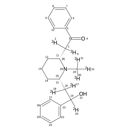 [2H]C([2H])(C(=O)c1ccccc1)[C@H]1CCC[C@@H](C([2H])([2H])C([2H])(O)c2ccccc2)N1C([2H])([2H])[2H]